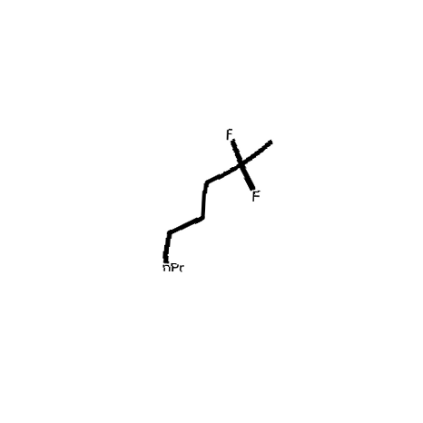 [CH2]CCCCCC(C)(F)F